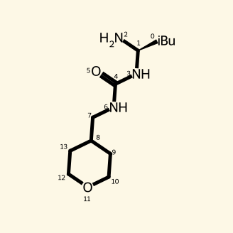 CCC(C)[C@H](N)NC(=O)NCC1CCOCC1